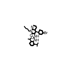 CCCCn1c(=O)c(NC(=O)Nc2c(C(C)C)cccc2C(C)C)c(-c2ccc(Br)cc2)c2cccnc21